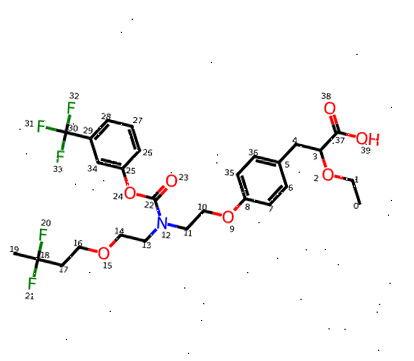 CCOC(Cc1ccc(OCCN(CCOCCC(C)(F)F)C(=O)Oc2cccc(C(F)(F)F)c2)cc1)C(=O)O